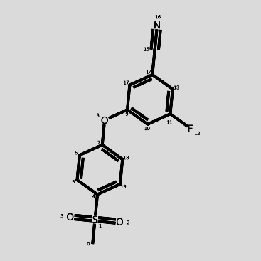 CS(=O)(=O)c1ccc(Oc2cc(F)cc(C#N)c2)cc1